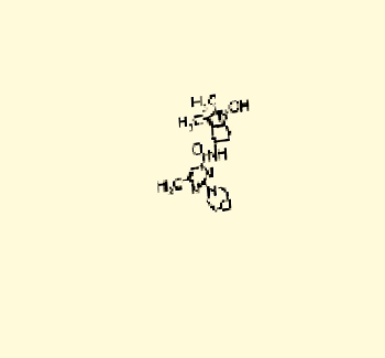 Cc1cc(C(=O)Nc2ccc3c(c2)c(C)c(C)n3O)nc(N2CCOCC2)n1